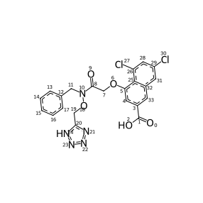 O=C(O)c1cc(OCC(=O)N(Cc2ccccc2)OCc2nnn[nH]2)c2c(Cl)cc(Cl)cc2c1